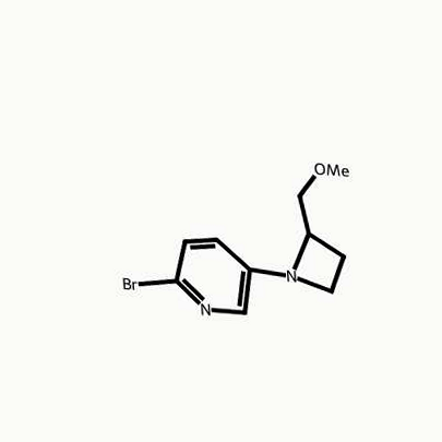 COCC1CCN1c1ccc(Br)nc1